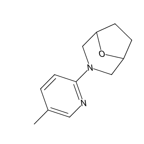 Cc1ccc(N2CC3CCC(C2)O3)nc1